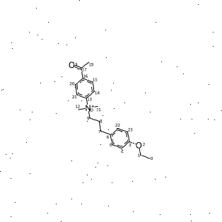 CCOc1ccc(CCC[N+](C)(C)c2ccc(C(C)=O)cc2)cc1